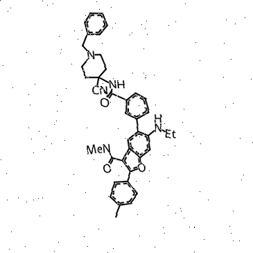 CCNc1cc2oc(-c3ccc(C)cc3)c(C(=O)NC)c2cc1-c1cccc(C(=O)NC2(C#N)CCN(Cc3ccccc3)CC2)c1